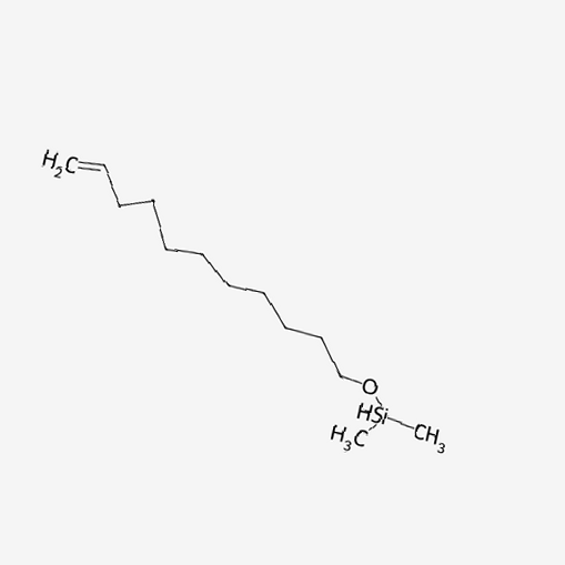 C=CCCCCCCCCCO[SiH](C)C